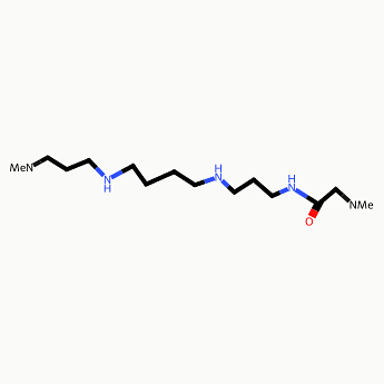 CNCCCNCCCCNCCCNC(=O)CNC